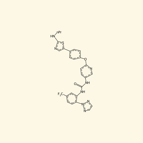 CCCNc1ncc(-c2ccc(Oc3ccc(NC(=O)Nc4cc(C(F)(F)F)ccc4-n4nccn4)cn3)cc2)s1